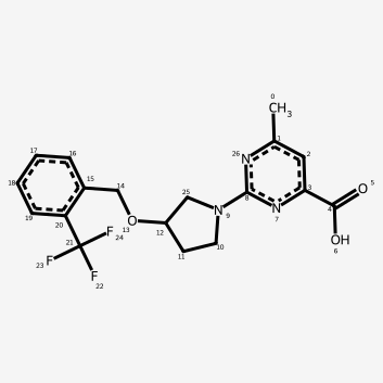 Cc1cc(C(=O)O)nc(N2CCC(OCc3ccccc3C(F)(F)F)C2)n1